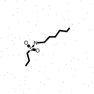 CCCCCC[N]S(=O)(=O)CCC